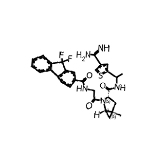 CC(NC(=O)[C@@H]1C[C@]2(C)C[C@@H]2N1C(=O)CNC(=O)c1ccc2c(c1)C(F)(F)c1ccccc1-2)c1cc(C(=N)N)cs1